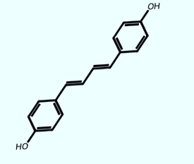 Oc1ccc(C=CC=Cc2ccc(O)cc2)cc1